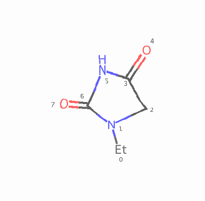 CCN1CC(=O)NC1=O